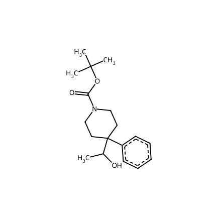 CC(O)C1(c2ccccc2)CCN(C(=O)OC(C)(C)C)CC1